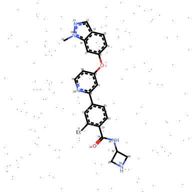 CCc1cc(-c2cc(Oc3ccc4cnn(C)c4c3)ccn2)ccc1C(=O)NC1CNC1